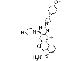 COC1CCN(C2CN(c3nc(N4CCNCC4)c4cc(Cl)c(-c5cccc6sc(N)nc56)c(F)c4n3)C2)CC1